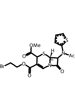 COC(=O)C1S[C@@H]2C(N(C(C)=O)c3cccs3)C(=O)N2C=C1C(=O)OCCBr